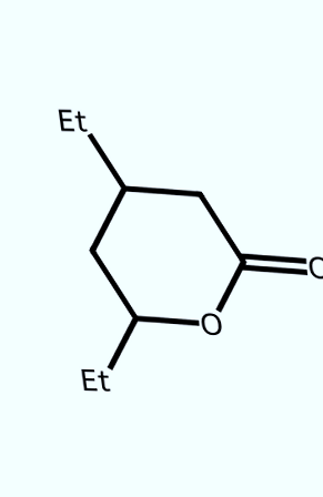 CCC1CC(=O)OC(CC)C1